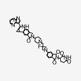 O=C1CCC(N2C(=O)c3ccc(N4CC(F)(CN5CCC(N6Cc7cc8c(cc7C6=O)C6CC6=C(c6cnn7cccnc67)N8)CC5)C4)cc3C2=O)C(=O)N1